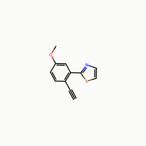 C#Cc1ccc(OC)cc1-c1nccs1